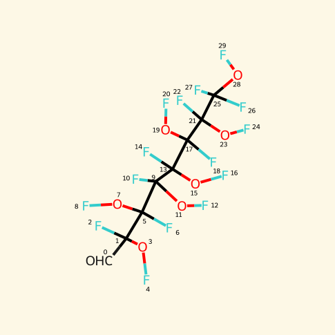 O=CC(F)(OF)C(F)(OF)C(F)(OF)C(F)(OF)C(F)(OF)C(F)(OF)C(F)(F)OF